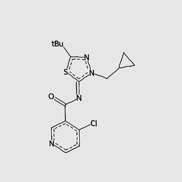 CC(C)(C)c1nn(CC2CC2)/c(=N/C(=O)c2cnccc2Cl)s1